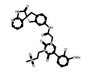 COc1cccc(-c2cn(CC(=O)Nc3ccc4c(c3)C[C@@]3(C4)C(=O)Nc4ncccc43)c(=O)n(CCS(C)(=O)=O)c2=O)c1Cl